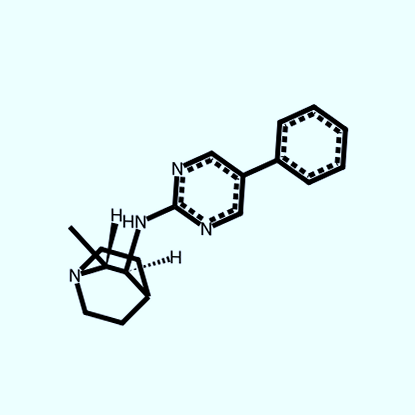 C[C@@H]1[C@@H](Nc2ncc(-c3ccccc3)cn2)C2CCN1CC2